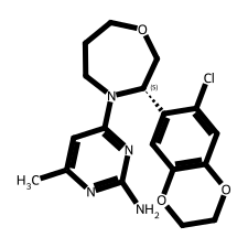 Cc1cc(N2CCCOC[C@@H]2c2cc3c(cc2Cl)OCCO3)nc(N)n1